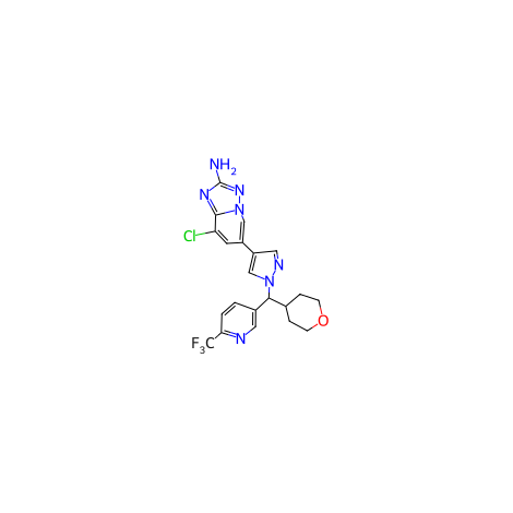 Nc1nc2c(Cl)cc(-c3cnn(C(c4ccc(C(F)(F)F)nc4)C4CCOCC4)c3)cn2n1